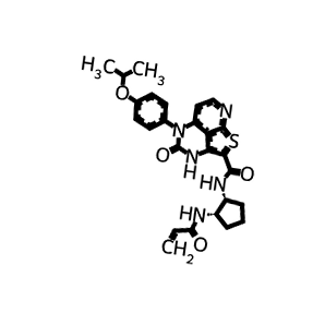 C=CC(=O)N[C@H]1CCC[C@H]1NC(=O)c1sc2nccc3c2c1NC(=O)N3c1ccc(OC(C)C)cc1